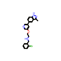 Cc1n[nH]c2ccc(-c3cncc(OCCNCc4ccccc4Br)c3)cc12